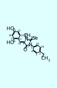 CCc1ccc(N2C(=O)C(=Cc3ccc(O)cc3O)N(C)C2=[Se])cc1